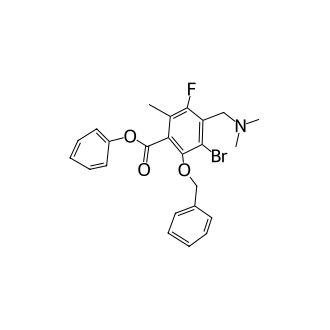 Cc1c(F)c(CN(C)C)c(Br)c(OCc2ccccc2)c1C(=O)Oc1ccccc1